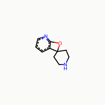 c1cnc2c(c1)C1(CCNCC1)O2